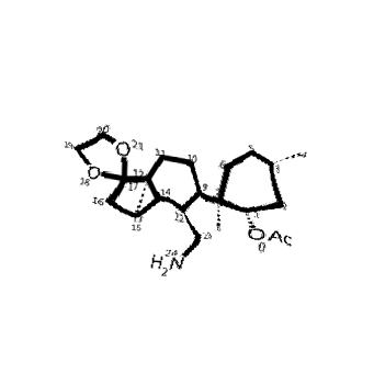 CC(=O)O[C@H]1C[C@@H](C)CC[C@]1(C)C1CC[C@@]2(C)C(CCC23OCCO3)[C@@H]1CN